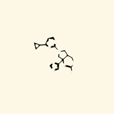 NC1=NC2(c3cncs3)CN(c3nccc(C4CC4)n3)CC2CS1